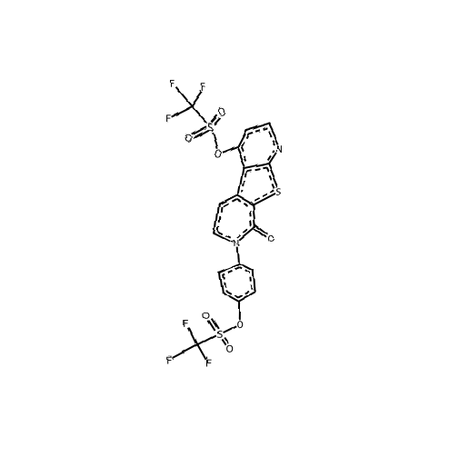 O=c1c2sc3nccc(OS(=O)(=O)C(F)(F)F)c3c2ccn1-c1ccc(OS(=O)(=O)C(F)(F)F)cc1